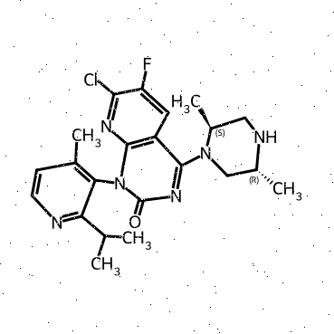 Cc1ccnc(C(C)C)c1-n1c(=O)nc(N2C[C@@H](C)NC[C@@H]2C)c2cc(F)c(Cl)nc21